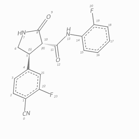 N#Cc1ccc([C@H]2CNC(=O)[C@@H]2C(=O)Nc2ccccc2F)cc1F